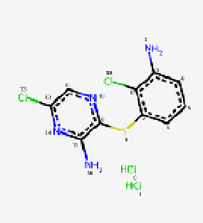 Cl.Cl.Nc1cccc(Sc2ncc(Cl)nc2N)c1Cl